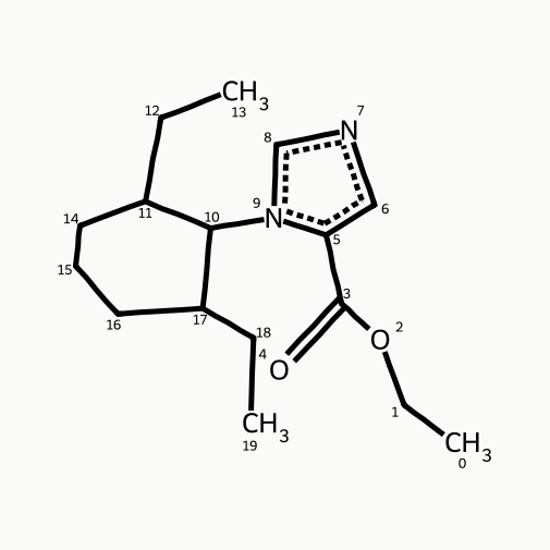 CCOC(=O)c1cncn1C1C(CC)CCCC1CC